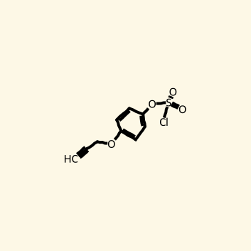 C#CCOc1ccc(OS(=O)(=O)Cl)cc1